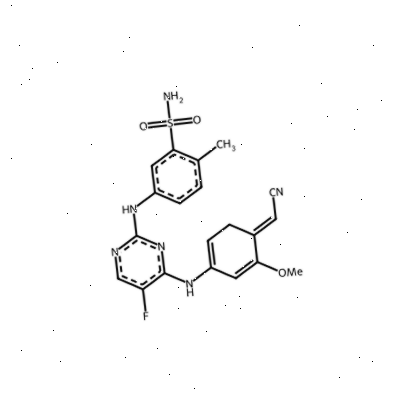 COC1=CC(Nc2nc(Nc3ccc(C)c(S(N)(=O)=O)c3)ncc2F)=CCC1=CC#N